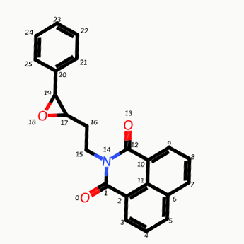 O=C1c2cccc3cccc(c23)C(=O)N1CCC1OC1c1ccccc1